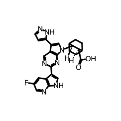 O=C(O)[C@@H]1C2CCC(CC2)[C@H]1n1cc(-c2ccn[nH]2)c2cnc(-c3c[nH]c4ncc(F)cc34)nc21